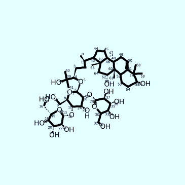 C[C@H](CC[C@@H](O[C@@H]1O[C@H](CO)[C@@H](O[C@H]2O[C@@H](CO)[C@H](O)[C@@H](O)[C@@H]2O)[C@H](O)[C@H]1O[C@H]1OC(CO)[C@H](O)[C@@H](O)[C@@H]1O)C(C)(C)O)C1CC[C@@]2(C)C3CC=C4C(CC[C@H](O)C4(C)C)[C@]3(C)[C@H](O)C[C@]12C